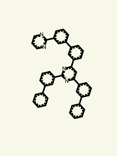 c1ccc(-c2cccc(-c3cc(-c4cccc(-c5cccc(-c6ncccn6)c5)c4)nc(-c4cccc(-c5ccccc5)c4)n3)c2)cc1